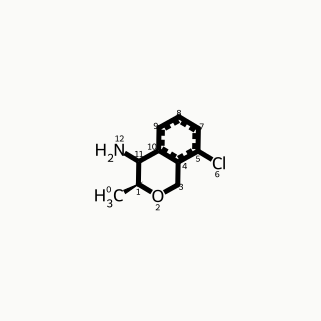 C[C@@H]1OCc2c(Cl)cccc2C1N